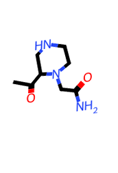 CC(=O)C1CNCCN1CC(N)=O